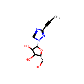 CC#Cc1ncn([C@@H]2O[C@H](CO)C(O)C2O)n1